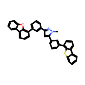 Cn1nc(-c2cccc(-c3cccc4c3oc3ccccc34)c2)cc1-c1cccc(-c2cccc3c2sc2ccccc23)c1